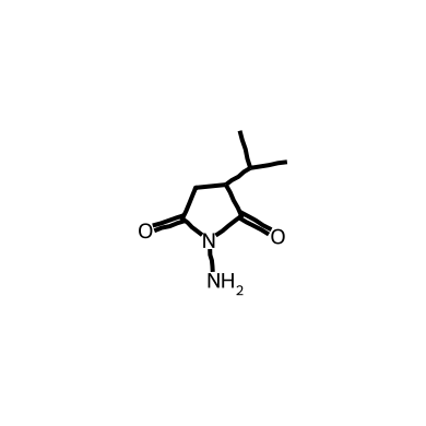 CC(C)C1CC(=O)N(N)C1=O